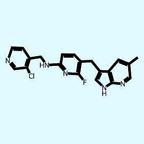 Cc1cnc2[nH]cc(Cc3ccc(NCc4ccncc4Cl)nc3F)c2c1